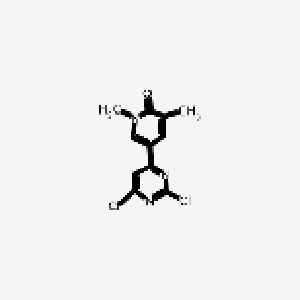 Cc1cc(-c2cc(Cl)nc(Cl)n2)cn(C)c1=O